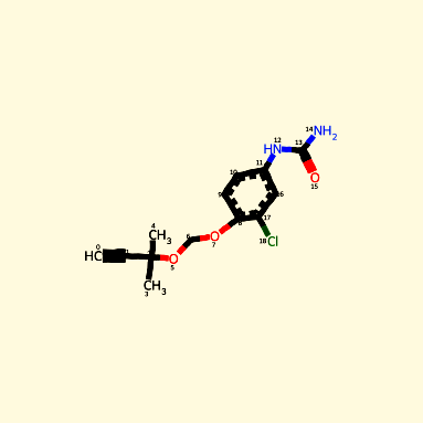 C#CC(C)(C)OCOc1ccc(NC(N)=O)cc1Cl